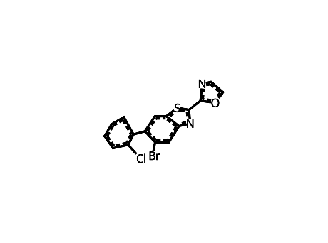 Clc1ccccc1-c1cc2sc(-c3ncco3)nc2cc1Br